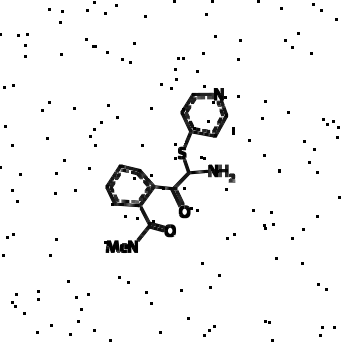 CNC(=O)c1ccccc1C(=O)C(N)Sc1ccncc1